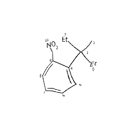 CCC(C)(CC)c1ccccc1[N+](=O)[O-]